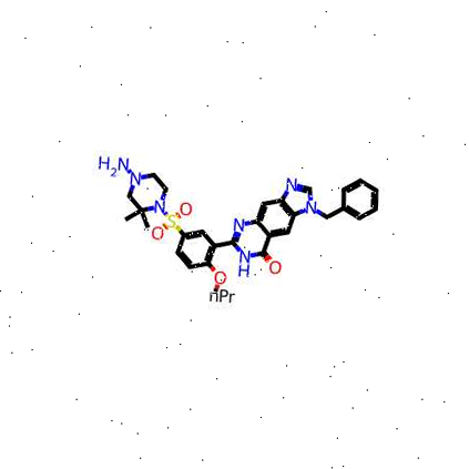 CCCOc1ccc(S(=O)(=O)N2CCN(N)CC2(C)C)cc1-c1nc2cc3ncn(Cc4ccccc4)c3cc2c(=O)[nH]1